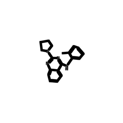 Cc1ccccc1Nc1nc(N2CCCC2)nc2ccccc12